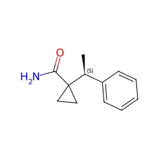 C[C@@H](c1ccccc1)C1(C(N)=O)CC1